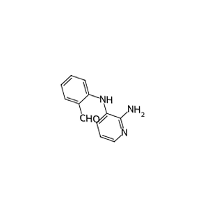 Nc1ncccc1Nc1ccccc1C=O